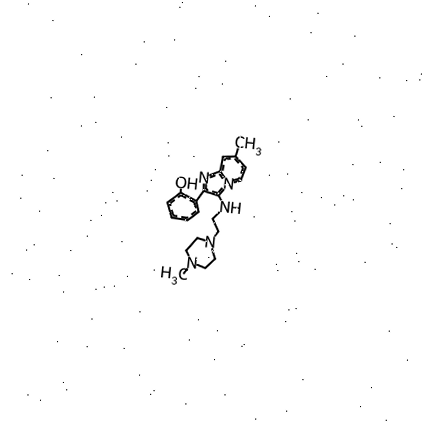 Cc1ccn2c(NCCN3CCN(C)CC3)c(-c3ccccc3O)nc2c1